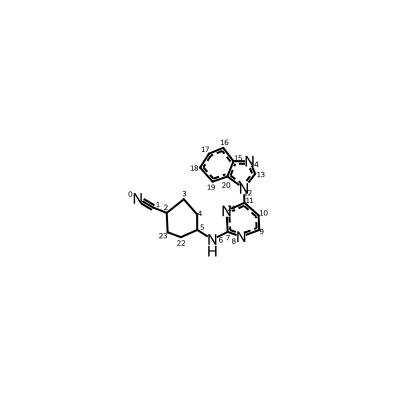 N#CC1CCC(Nc2nccc(-n3cnc4ccccc43)n2)CC1